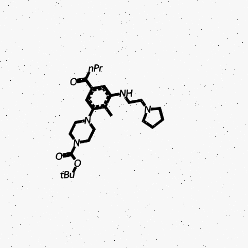 CCCC(=O)c1cc(NCCN2CCCC2)c(C)c(N2CCN(C(=O)OC(C)(C)C)CC2)c1